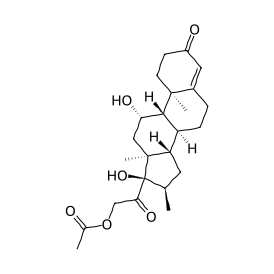 CC(=O)OCC(=O)[C@@]1(O)[C@H](C)C[C@H]2[C@@H]3CCC4=CC(=O)CC[C@]4(C)[C@H]3[C@@H](O)C[C@@]21C